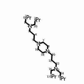 CC(C)CN(CCCN1CCN(CCCN(CC(C)C)CC(C)C)CC1)CC(C)C